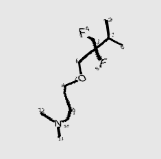 CC(C)C(F)(F)COCCN(C)C